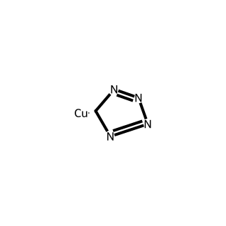 C1N=NN=N1.[Cu]